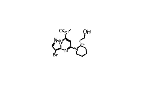 C[S+]([O-])c1cc(N2CCCC[C@H]2CCO)nc2c(Br)cnn12